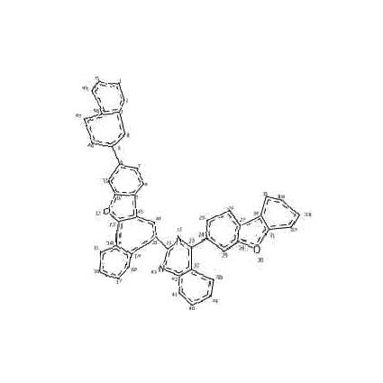 c1ccc2cc(-c3ccc4c(c3)oc3c5ccccc5c(-c5nc(-c6ccc7c(c6)oc6ccccc67)c6ccccc6n5)cc43)ccc2c1